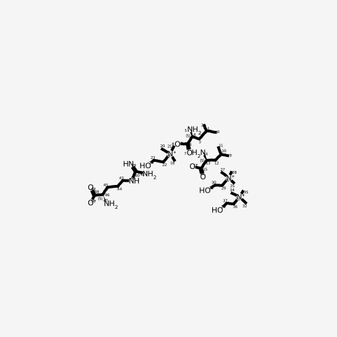 CC(C)C[C@H](N)C(=O)[O-].CC(C)C[C@H](N)C(=O)[O-].C[N+](C)(C)CCO.C[N+](C)(C)CCO.C[N+](C)(C)CCO.N=C(N)NCCC[C@H](N)C(=O)[O-]